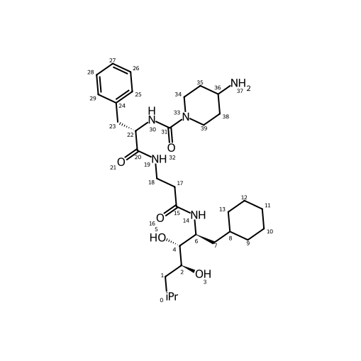 CC(C)C[C@H](O)[C@H](O)[C@H](CC1CCCCC1)NC(=O)CCNC(=O)[C@H](Cc1ccccc1)NC(=O)N1CCC(N)CC1